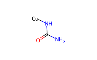 NC(=O)[NH][Cu]